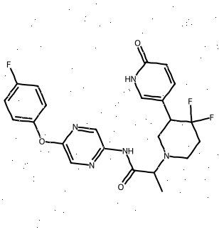 CC(C(=O)Nc1cnc(Oc2ccc(F)cc2)cn1)N1CCC(F)(F)C(c2ccc(=O)[nH]c2)C1